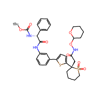 CC(C)(C)OC(=O)N[C@@H](C(=O)Nc1cccc(-c2ccc([C@@]3(CC(=O)NOC4CCCCO4)CCCCS3(=O)=O)s2)c1)c1ccccc1